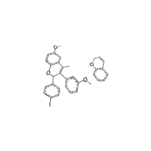 C1=Cc2ccccc2OC1.COc1cccc(C2=C(C)c3cc(OC)ccc3OC2c2ccc(I)cc2)c1